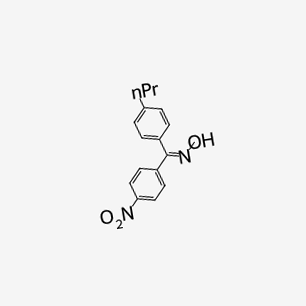 CCCc1ccc(/C(=N\O)c2ccc([N+](=O)[O-])cc2)cc1